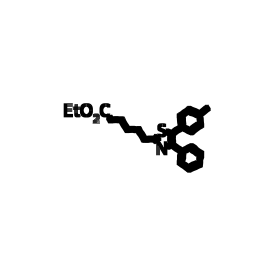 CCOC(=O)CCCCCc1nc(-c2ccccc2)c(-c2ccc(C)cc2)s1